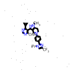 COc1ncnc(C2CC2)c1-c1nn(C)c2c1CN(c1ccc(-c3nc(C(F)(F)F)cn3C(C)C)cc1)CC2